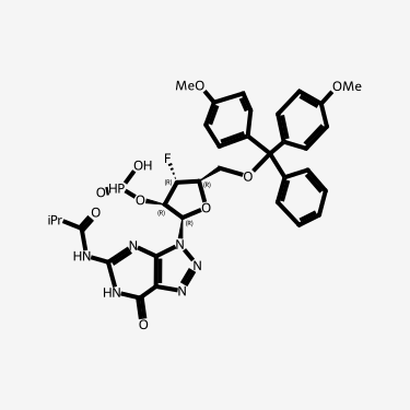 COc1ccc(C(OC[C@H]2O[C@@H](n3nnc4c(=O)[nH]c(NC(=O)C(C)C)nc43)[C@@H](O[PH](=O)O)[C@@H]2F)(c2ccccc2)c2ccc(OC)cc2)cc1